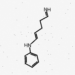 N=CCC/C=C/Nc1ccccc1